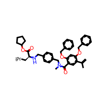 C=C(C)c1cc(C(=O)N(C)Cc2ccc(CN[C@@H](CC(C)C)C(=O)OC3CCCC3)cc2)c(OCc2ccccc2)cc1OCc1ccccc1